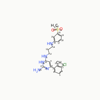 Cc1c(Cl)cccc1C1=CC(NCCCNc2cccc(S(C)(=O)=O)c2)NC(N)=N1